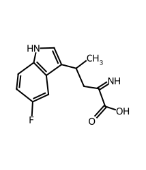 CC(CC(=N)C(=O)O)c1c[nH]c2ccc(F)cc12